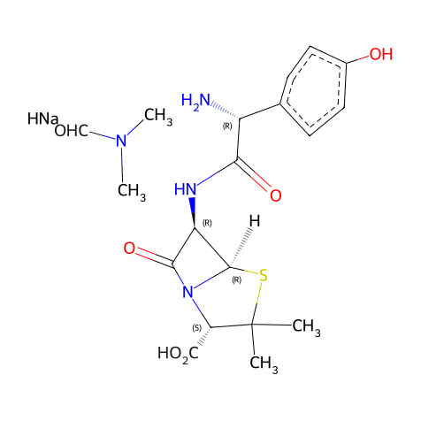 CC1(C)S[C@@H]2[C@H](NC(=O)[C@H](N)c3ccc(O)cc3)C(=O)N2[C@H]1C(=O)O.CN(C)C=O.[NaH]